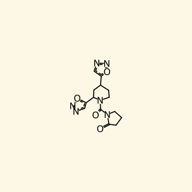 O=C1CCCN1C(=O)N1CCC(c2cnno2)CC1c1cnno1